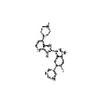 CN1CCN(c2ccnc3[nH]c(-c4n[nH]c5cc(F)c(-c6cncnc6)cc45)nc23)CC1